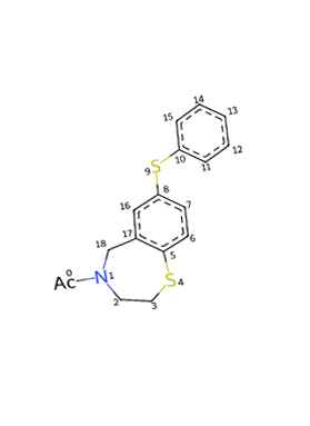 CC(=O)N1CCSc2ccc(Sc3ccccc3)cc2C1